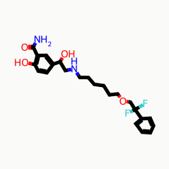 NC(=O)c1cc(C(O)CNCCCCCCOCC(F)(F)c2ccccc2)ccc1O